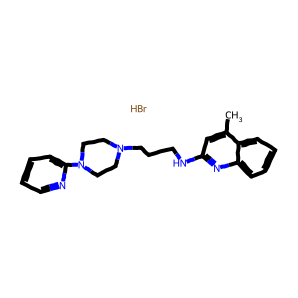 Br.Cc1cc(NCCCN2CCN(c3ccccn3)CC2)nc2ccccc12